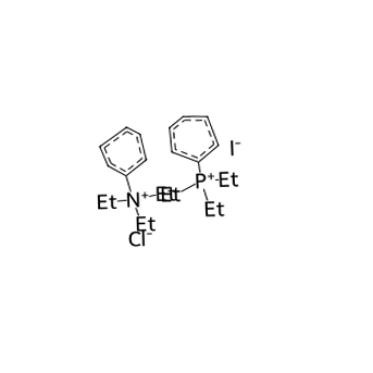 CC[N+](CC)(CC)c1ccccc1.CC[P+](CC)(CC)c1ccccc1.[Cl-].[I-]